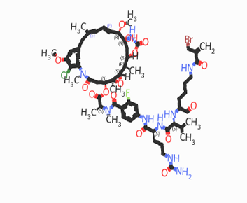 C=C(CBr)C(=O)NCCCCC(C=O)N[C@H](C(=O)N[C@@H](CCCNC(N)=O)C(=O)Nc1ccc(C(=O)N(C)[C@@H](C)C(=O)O[C@H]2CC(=O)N(C)c3cc(cc(OC)c3Cl)C/C(C)=C/C=C/[C@@H](OC)[C@@]3(O)C[C@H](OC(=O)N3)[C@@H](C)[C@@H]3O[C@@]23C)c(F)c1)C(C)C